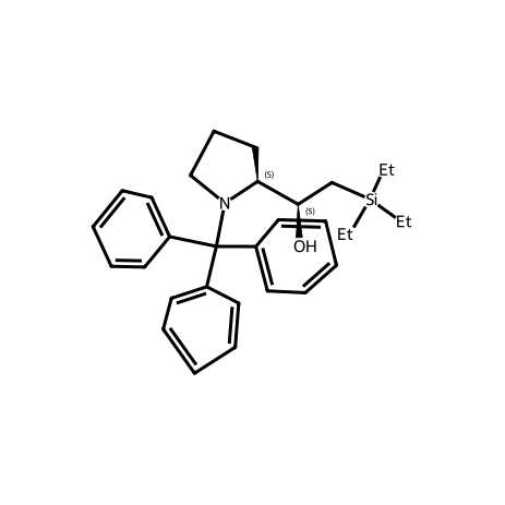 CC[Si](CC)(CC)C[C@@H](O)[C@@H]1CCCN1C(c1ccccc1)(c1ccccc1)c1ccccc1